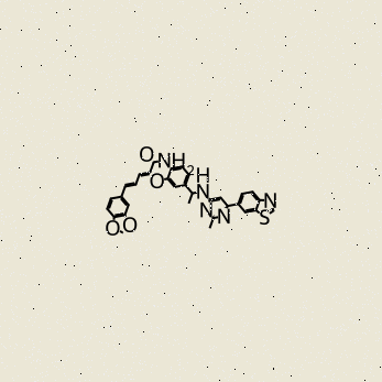 Cc1nc(NC(C)c2cccc(OC(=CC=Cc3ccc4c(c3)OCO4)C(N)=O)c2)cc(-c2ccc3ncsc3c2)n1